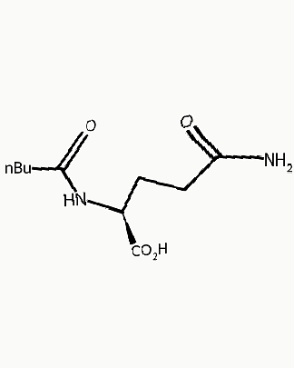 CCCCC(=O)N[C@@H](CCC(N)=O)C(=O)O